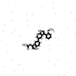 COc1ccccc1-c1c[nH]c2ncc(-c3ccc4[nH]cc(CC(=O)O)c4c3)cc12